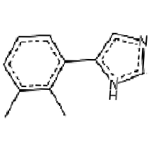 Cc1cccc(-c2cn[c][nH]2)c1C